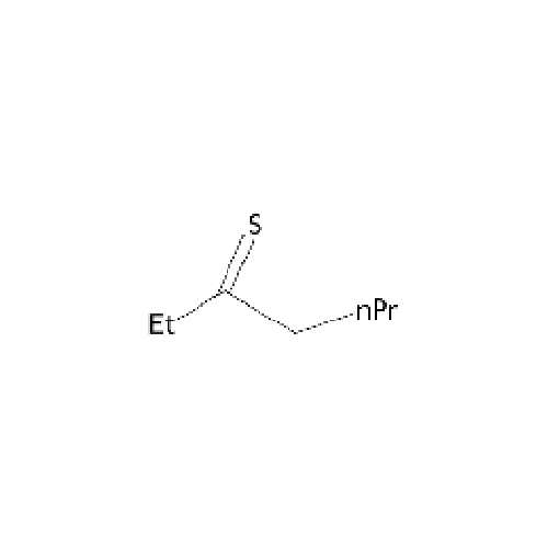 CCCCC(=S)CC